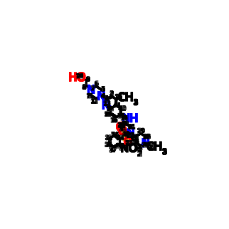 Cc1cc(N2CCN(CCO)CC2)nc2ccc(NC(=O)CN(C3CCN(C)CC3)S(=O)(=O)c3ccccc3[N+](=O)[O-])cc12